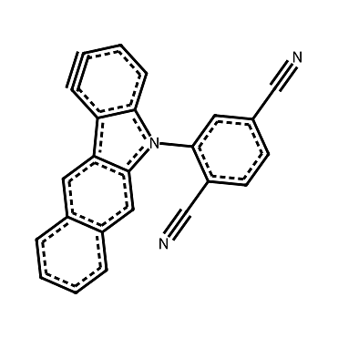 N#Cc1ccc(C#N)c(-n2c3ccc#cc3c3cc4ccccc4cc32)c1